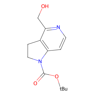 CC(C)(C)OC(=O)N1CCc2c1ccnc2CO